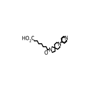 O=C(O)CCCCCCC(=O)N1CCC2(CCN(c3ccncc3)CC2)C1